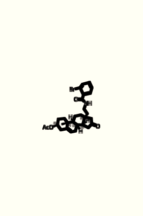 CC(=O)O[C@H]1CC[C@@]2(C)C(=CC[C@H]3[C@@H]4CC(=O)C[C@@]4(CCNC(=O)c4ccccc4Br)CC[C@@H]32)C1